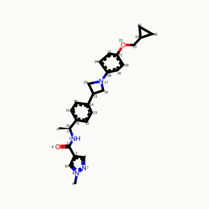 C[C@H](NC(=O)c1cnn(C)c1)c1ccc(C2CN(c3ccc(OCC4CC4)cc3)C2)cc1